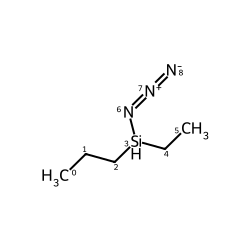 CCC[SiH](CC)N=[N+]=[N-]